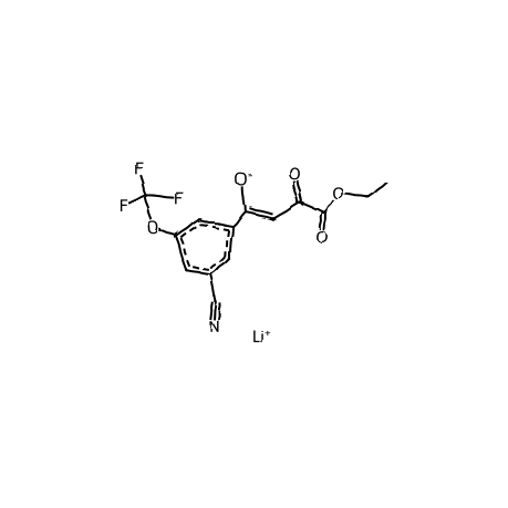 CCOC(=O)C(=O)C=C([O-])c1cc(C#N)cc(OC(F)(F)F)c1.[Li+]